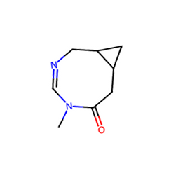 CN1/C=N\CC2CC2CC1=O